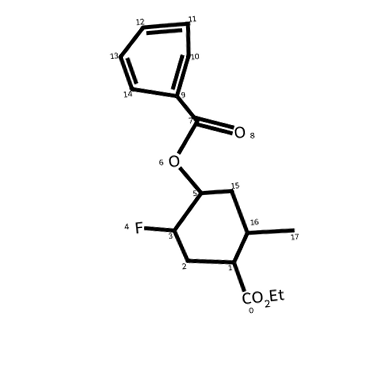 CCOC(=O)C1CC(F)C(OC(=O)c2ccccc2)CC1C